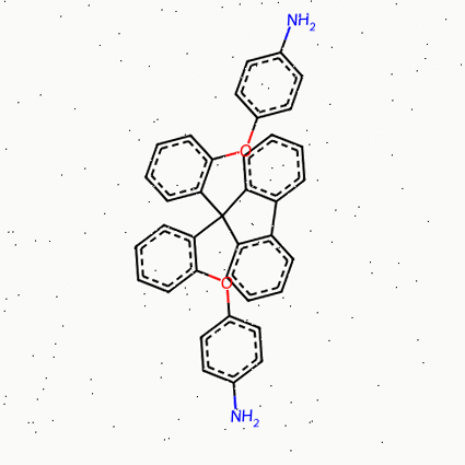 Nc1ccc(Oc2ccccc2C2(c3ccccc3Oc3ccc(N)cc3)c3ccccc3-c3ccccc32)cc1